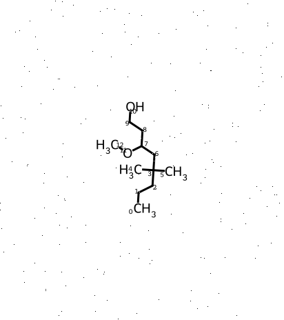 CCCC(C)(C)CC(CCO)OC